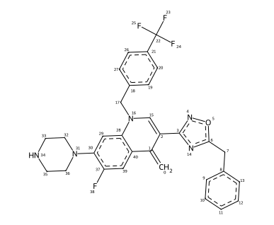 C=C1C(c2noc(Cc3ccccc3)n2)=CN(Cc2ccc(C(F)(F)F)cc2)c2cc(N3CCNCC3)c(F)cc21